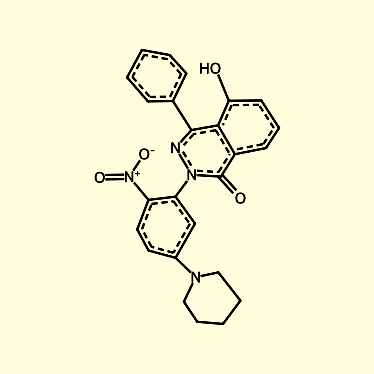 O=c1c2cccc(O)c2c(-c2ccccc2)nn1-c1cc(N2CCCCC2)ccc1[N+](=O)[O-]